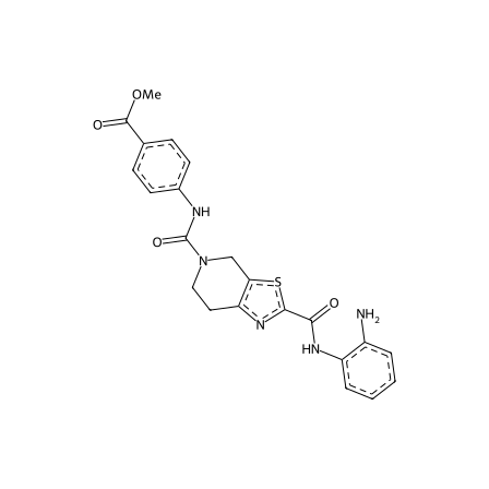 COC(=O)c1ccc(NC(=O)N2CCc3nc(C(=O)Nc4ccccc4N)sc3C2)cc1